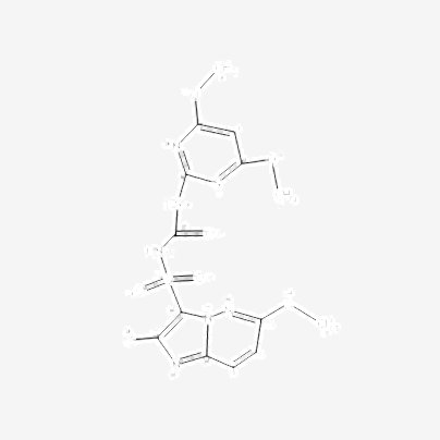 COc1cc(OC)nc(NC(=O)NS(=O)(=O)c2c(Cl)nc3ccc(SC)nn23)n1